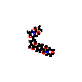 CC1CN(S(=O)(=O)C(C)C)CC(CCC(C)S(=O)(=O)c2ccc(S(=O)(=O)N3CCOCC3)cc2)O1